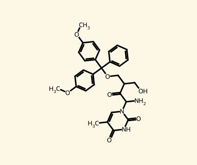 COc1ccc(C(OCC(CO)C(=O)C(N)n2cc(C)c(=O)[nH]c2=O)(c2ccccc2)c2ccc(OC)cc2)cc1